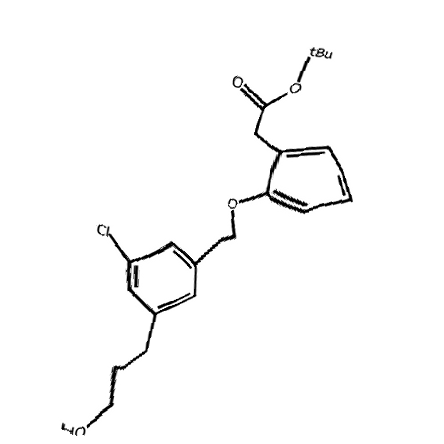 CC(C)(C)OC(=O)Cc1ccccc1OCc1cc(Cl)cc(CCCO)c1